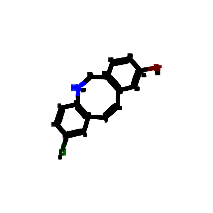 Clc1ccc2c(c1)C=Cc1cc(Br)ccc1CN2